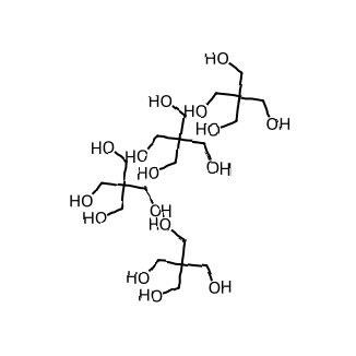 OCC(CO)(CO)CO.OCC(CO)(CO)CO.OCC(CO)(CO)CO.OCC(CO)(CO)CO